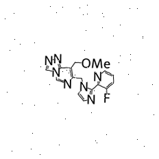 COCc1c(Cn2ccnc2-c2ncccc2F)ncn2cnnc12